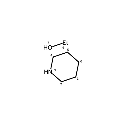 C1CCNCC1.CCO